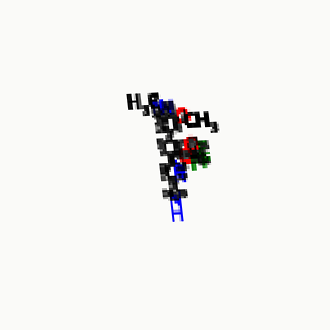 COc1cc(-c2ccc(-c3ccc(C4CNC4)nn3)c(OC(=O)C(F)(F)F)c2)cc2cn(C)nc12